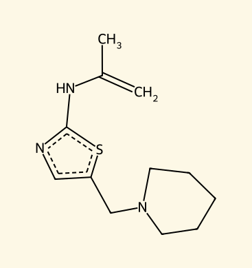 C=C(C)Nc1ncc(CN2CCCCC2)s1